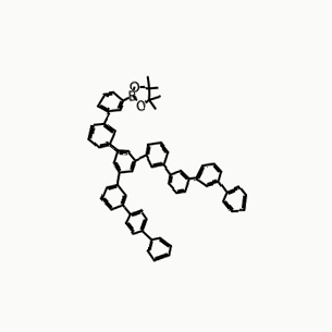 CC1(C)OB(c2cccc(-c3cccc(-c4cc(-c5cccc(-c6ccc(-c7ccccc7)cc6)c5)cc(-c5cccc(-c6cccc(-c7cccc(-c8ccccc8)c7)c6)c5)c4)c3)c2)OC1(C)C